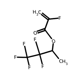 C=C(F)C(=O)OC(C)C(F)(F)C(F)(F)F